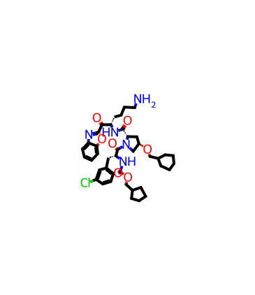 NCCCC[C@H](NC(=O)[C@@H]1C[C@@H](OCC2CCCCC2)CN1C(=O)[C@@H](Cc1cccc(Cl)c1)NC(=O)OCC1CCCC1)C(=O)c1nc2ccccc2o1